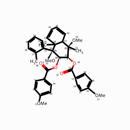 COc1ccc(C(=O)O[C@@H]2[C@H](OC(=O)c3ccc(OC)cc3)[C@](C)(OC)C3C=CC=CC3(C)[C@@]2(OC)c2ccccc2C)cc1